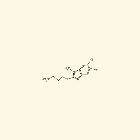 Cn1c(SCCCS(=O)(=O)O)nc2cc(Cl)c(Cl)cc21